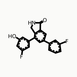 O=C1NCc2c1cc(-c1cccc(F)c1)cc2-c1cc(O)cc(F)c1